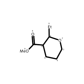 [CH2]CC1OCCCC1C(=O)OC